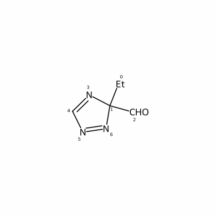 CCC1(C=O)N=CN=N1